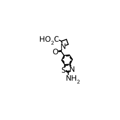 Nc1nc2ccc(C(=O)N3CCC3C(=O)O)cc2s1